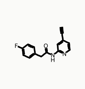 C#Cc1ccnc(NC(=O)Cc2ccc(F)cc2)c1